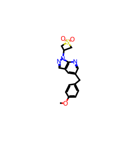 COc1ccc(Cc2cnc3c(cnn3C3CS(=O)(=O)C3)c2)cc1